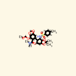 CCOCOc1c2c(cc(C3C=CC4OC(C)(C)OC4C3NS(=O)(=O)c3ccc(C)cc3)c1C(=O)N(CC)CC)OCO2